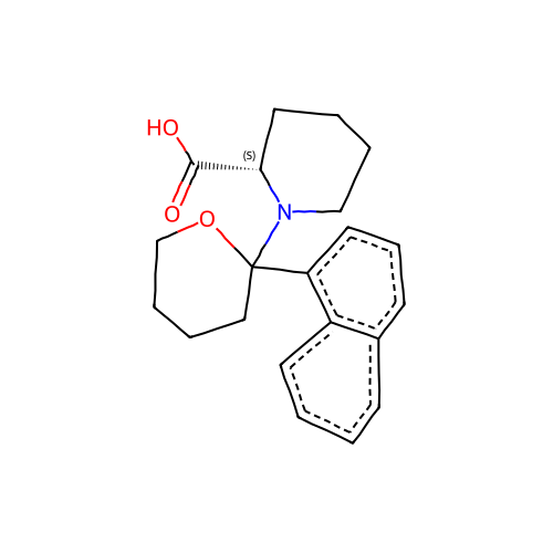 O=C(O)[C@@H]1CCCCN1C1(c2cccc3ccccc23)CCCCO1